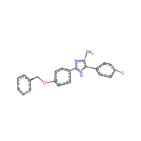 Cc1nc(-c2ccc(OCc3ccccc3)cc2)[nH]c1-c1ccc(Cl)cc1